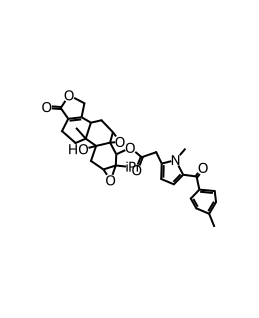 Cc1ccc(C(=O)c2ccc(CC(=O)OC3C4(C(C)C)OC4CC4(O)C5(C)CCC6=C(COC6=O)C5CC5OC534)n2C)cc1